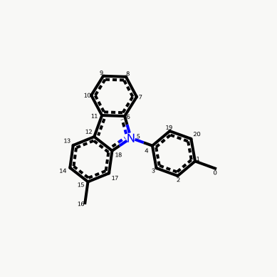 Cc1ccc(-n2c3ccccc3c3ccc(C)cc32)cc1